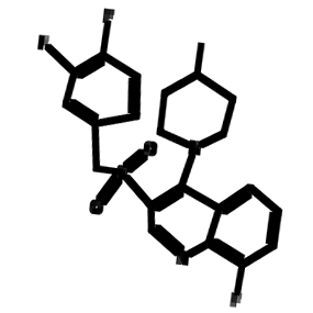 CC1CCN(c2c(S(=O)(=O)Cc3ccc(F)c(F)c3)cnc3c(F)cccc23)CC1